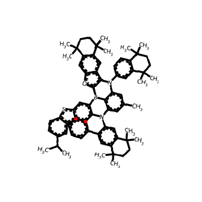 Cc1cc2c3c(c1)N(c1ccc4c(c1)C(C)(C)CCC4(C)C)c1c(oc4cc5c(cc14)C(C)(C)CCC5(C)C)B3c1cc3sc4ccc(C(C)C)cc4c3cc1N2c1cc2c(cc1-c1ccccc1)C(C)(C)CCC2(C)C